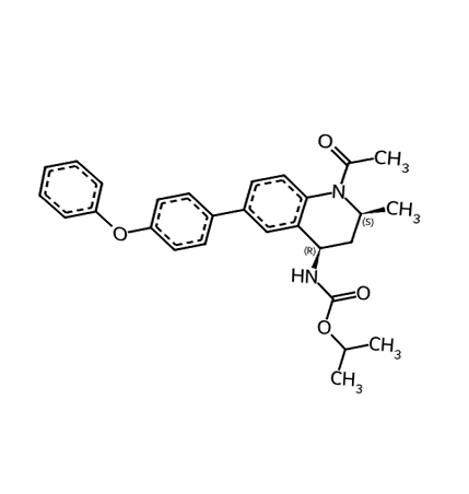 CC(=O)N1c2ccc(-c3ccc(Oc4ccccc4)cc3)cc2[C@H](NC(=O)OC(C)C)C[C@@H]1C